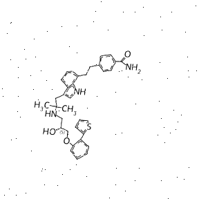 CC(C)(Cc1c[nH]c2c(CCc3ccc(C(N)=O)cc3)cccc12)NC[C@H](O)COc1ccccc1-c1cccs1